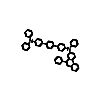 c1ccc(-c2cc3ccccc3c3ccc(N(c4ccccc4)c4ccc(-c5ccc(-c6ccc(N(c7ccccc7)c7ccccc7)cc6)cc5)cc4)cc23)cc1